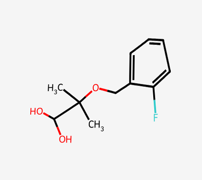 CC(C)(OCc1ccccc1F)C(O)O